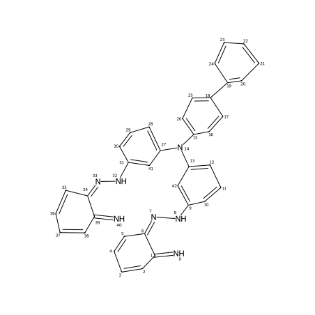 N=C1C=CC=C/C1=N/Nc1cccc(N(c2ccc(-c3ccccc3)cc2)c2cccc(N/N=C3/C=CC=CC3=N)c2)c1